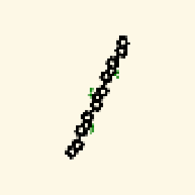 FC1(F)c2cc(-c3ccc4c(c3)C(F)(F)c3cc(-c5ccc6ccccc6c5)ccc3-4)ccc2-c2ccc(-c3ccc4c(c3)C(F)(F)c3cc(-c5ccc6ccccc6c5)ccc3-4)cc21